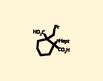 CCCCCCCC1(C(=O)O)CCCCC1(CC(C)C)C(=O)O